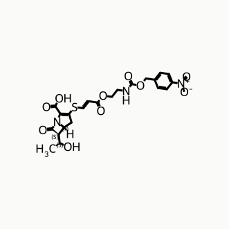 C[C@H](O)[C@H]1C(=O)N2C(C(=O)O)=C(SC=CC(=O)OCCNC(=O)OCc3ccc([N+](=O)[O-])cc3)C[C@H]12